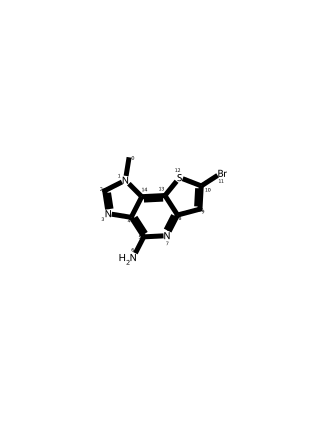 Cn1cnc2c(N)nc3cc(Br)sc3c21